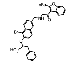 CCCCc1oc2ccccc2c1C(=O)CNCc1ccc2c(Br)c(OC(Cc3ccccc3)C(=O)O)ccc2c1